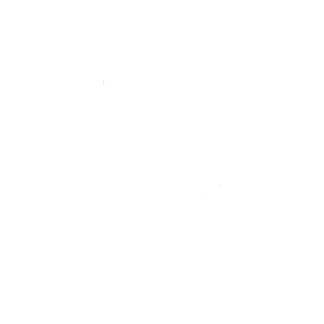 O=C(OC(=O)C1CC1)C(O)C=CCO